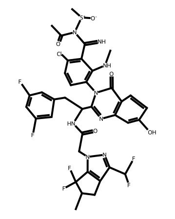 CNc1c(-n2c(C(Cc3cc(F)cc(F)c3)NC(=O)Cn3nc(C(F)F)c4c3C(F)(F)C(C)C4)nc3cc(O)ccc3c2=O)ccc(Cl)c1C(=N)N(C(C)=O)[S+](C)[O-]